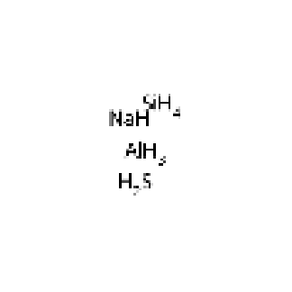 S.[AlH3].[NaH].[SiH4]